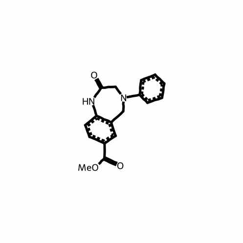 COC(=O)c1ccc2c(c1)CN(c1ccccc1)CC(=O)N2